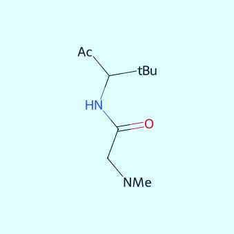 CNCC(=O)NC(C(C)=O)C(C)(C)C